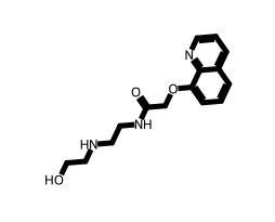 O=C(COc1cccc2cccnc12)NCCNCCO